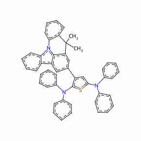 CC1(C)c2ccccc2-n2c3ccccc3c3cc(-c4cc(N(c5ccccc5)c5ccccc5)sc4N(c4ccccc4)c4ccccc4)cc1c32